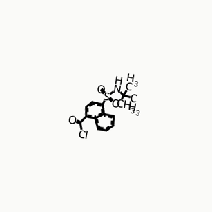 CC(C)(C)NS(=O)(=O)c1ccc(C(=O)Cl)c2ccccc12